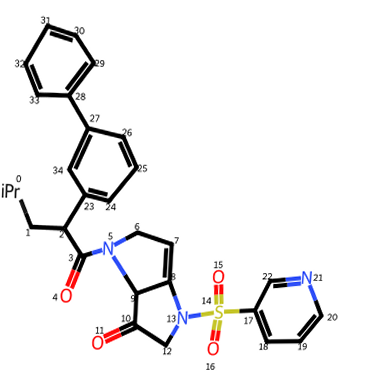 CC(C)CC(C(=O)N1CC=C2C1C(=O)CN2S(=O)(=O)c1cccnc1)c1cccc(-c2ccccc2)c1